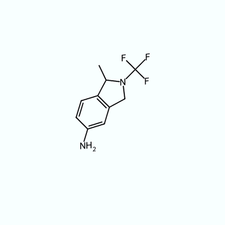 CC1c2ccc(N)cc2CN1C(F)(F)F